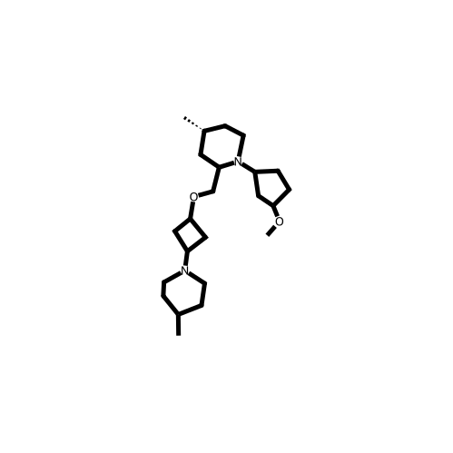 COC1CCC(N2CC[C@@H](C)CC2COC2CC(N3CCC(C)CC3)C2)C1